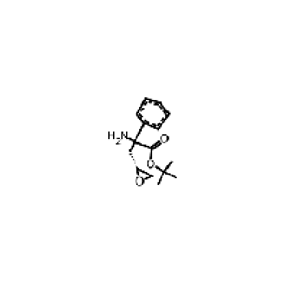 CC(C)(C)OC(=O)C(N)(C[C@@H]1CO1)c1ccccc1